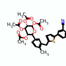 CC(=O)O[C@H]1OC(c2ccc(C)c(Cc3ccc(-c4cccc(C#N)c4)s3)c2)[C@H](OC(C)=O)[C@@H](OC(C)=O)[C@@H]1OC(C)=O